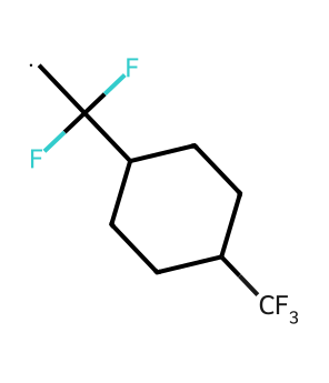 [CH2]C(F)(F)C1CCC(C(F)(F)F)CC1